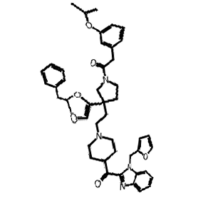 CC(C)Oc1cccc(CC(=O)N2CCC(CCN3CCC(C(=O)c4nc5ccccc5n4Cc4ccco4)CC3)(C3=COC(Cc4ccccc4)O3)C2)c1